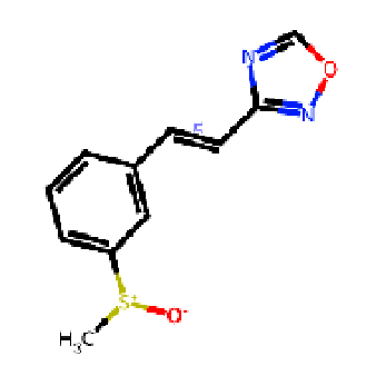 C[S+]([O-])c1cccc(/C=C/c2ncon2)c1